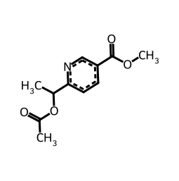 COC(=O)c1ccc(C(C)OC(C)=O)nc1